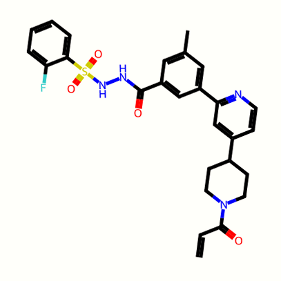 C=CC(=O)N1CCC(c2ccnc(-c3cc(C)cc(C(=O)NNS(=O)(=O)c4ccccc4F)c3)c2)CC1